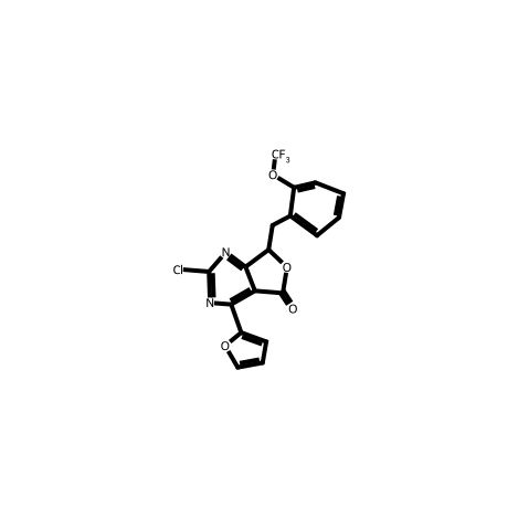 O=C1OC(Cc2ccccc2OC(F)(F)F)c2nc(Cl)nc(-c3ccco3)c21